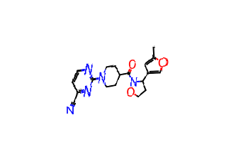 Cc1cc(C2CCON2C(=O)C2CCN(c3nccc(C#N)n3)CC2)co1